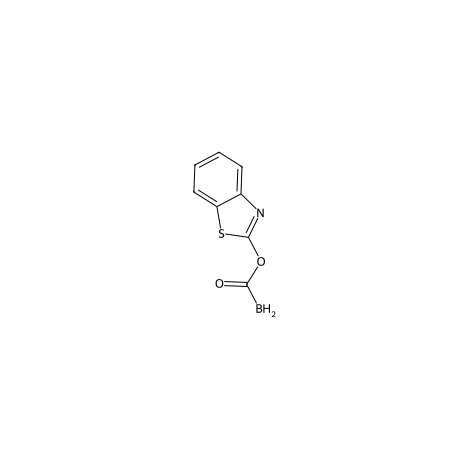 BC(=O)Oc1nc2ccccc2s1